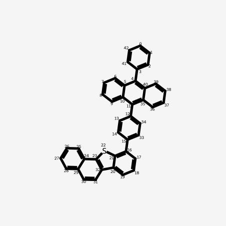 c1ccc(-c2c3ccccc3c(-c3ccc(-c4cccc5c4sc4c6ccccc6ccc54)cc3)c3ccccc23)cc1